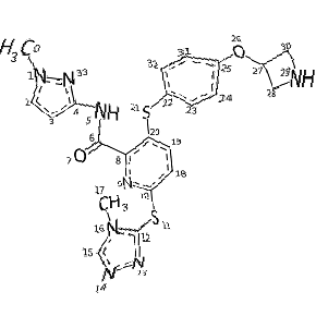 Cn1ccc(NC(=O)c2nc(Sc3nncn3C)ccc2Sc2ccc(OC3CNC3)cc2)n1